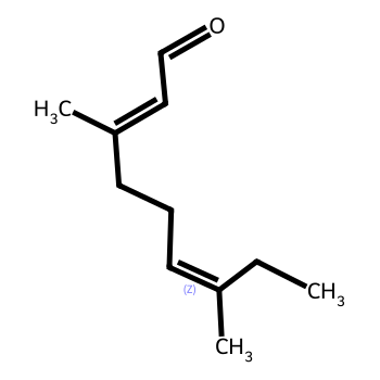 CC/C(C)=C\CCC(C)=CC=O